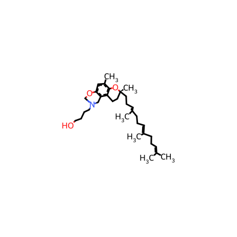 CC(C)=CCC/C(C)=C/CC/C(C)=C/CC[C@]1(C)CCc2c3c(cc(C)c2O1)OCN(CCCCO)C3